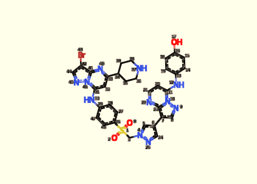 O=S(=O)(Cn1cc(-c2cnn3c(Nc4ccc(O)cc4)ccnc23)cn1)c1ccc(Nc2cc(C3CCNCC3)nc3c(Br)cnn23)cc1